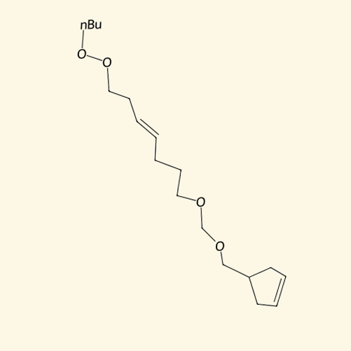 CCCCOOCCC=CCCCOCOCC1CC=CC1